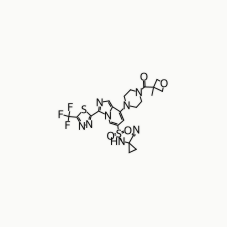 CC1(C(=O)N2CCN(c3cc(S(=O)(=O)NC4(C#N)CC4)cn4c(-c5nnc(C(F)(F)F)s5)ncc34)CC2)COC1